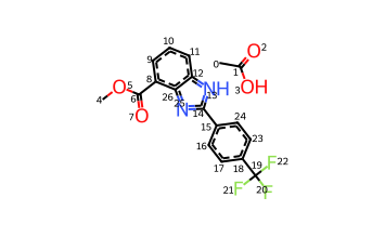 CC(=O)O.COC(=O)c1cccc2[nH]c(-c3ccc(C(F)(F)F)cc3)nc12